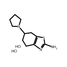 Cl.Cl.Nc1nc2c(s1)CC(N1CCCC1)CC2